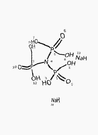 O=P(O)(O)N(P(=O)(O)O)P(=O)(O)O.[NaH].[NaH]